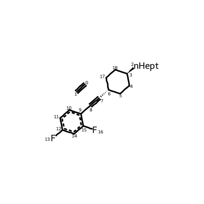 C#C.CCCCCCC[C@H]1CC[C@H](C#Cc2ccc(F)cc2F)CC1